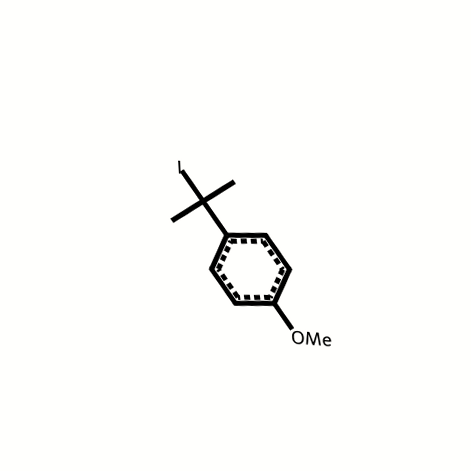 COc1ccc(C(C)(C)I)cc1